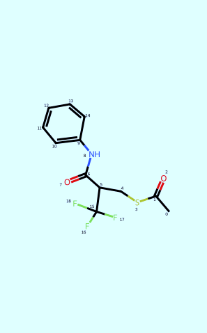 CC(=O)SCC(C(=O)Nc1ccccc1)C(F)(F)F